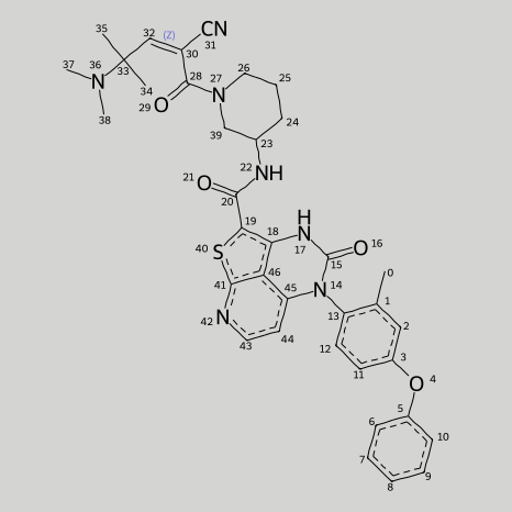 Cc1cc(Oc2ccccc2)ccc1N1C(=O)Nc2c(C(=O)NC3CCCN(C(=O)/C(C#N)=C\C(C)(C)N(C)C)C3)sc3nccc1c23